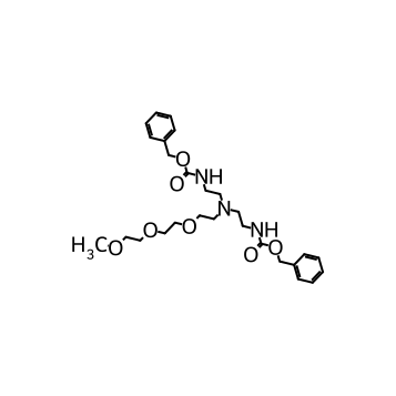 COCCOCCOCCN(CCNC(=O)OCc1ccccc1)CCNC(=O)OCc1ccccc1